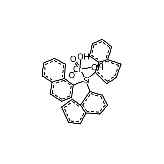 [O]=[Cr](=[O])([OH])([OH])[Si](c1cccc2ccccc12)(c1cccc2ccccc12)c1cccc2ccccc12